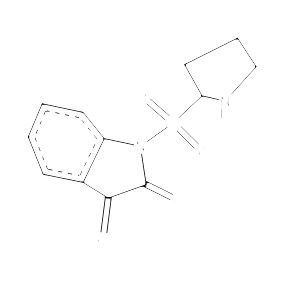 O=C1C(=O)N(S(=O)(=O)C2CCCN2)c2ccccc21